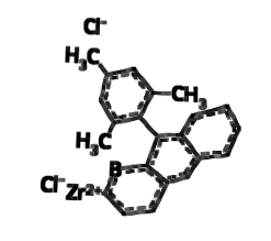 Cc1cc(C)c(-c2c3b[c]([Zr+2])ccc3cc3ccccc23)c(C)c1.[Cl-].[Cl-]